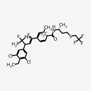 CC/C=C(\C=C/C(C)C(=O)N[C@H](C)CCSCC(F)(F)F)C(/F)=C/C(c1cc(Cl)c(CC)c(Cl)c1)C(F)(P)P